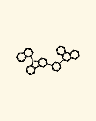 c1cc(-c2ccc3c(c2)c2ccccc2n3-c2cccc3ccccc23)cc(-c2cc3ccccc3c3ccccc23)c1